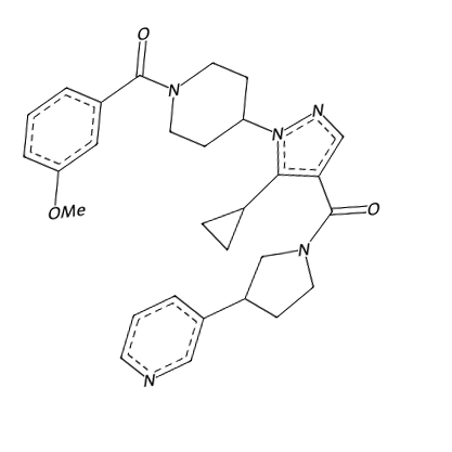 COc1cccc(C(=O)N2CCC(n3ncc(C(=O)N4CCC(c5cccnc5)C4)c3C3CC3)CC2)c1